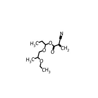 C=C(C#N)C(=O)OC(CC)OCC(C)OCC